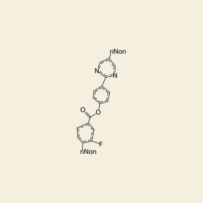 CCCCCCCCCc1cnc(-c2ccc(OC(=O)c3ccc(CCCCCCCCC)c(F)c3)cc2)nc1